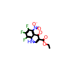 CCOC(=O)c1c[nH]c2c(F)c(F)c(F)c([N+](=O)[O-])c2c1=O